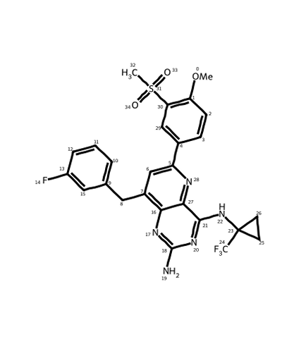 COc1ccc(-c2cc(Cc3cccc(F)c3)c3nc(N)nc(NC4(C(F)(F)F)CC4)c3n2)cc1S(C)(=O)=O